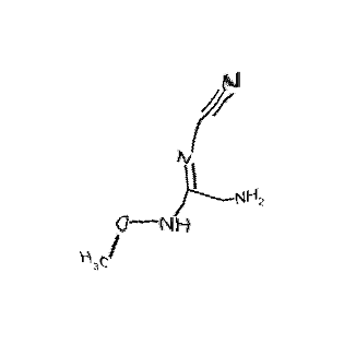 CONC(N)=NC#N